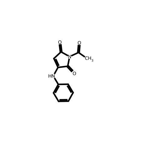 CC(=O)N1C(=O)C=C(Nc2ccccc2)C1=O